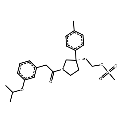 Cc1ccc([C@@]2(CCOS(C)(=O)=O)CCN(C(=O)Cc3cccc(OC(C)C)c3)C2)cc1